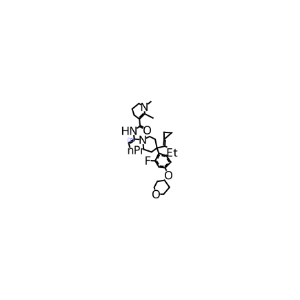 CCC/C=C(/NC(=O)C1=C(C)N(C)CCC1)N1CCC(C(C)=C2CC2)(c2c(F)cc(OC3CCOCC3)cc2CC)CC1